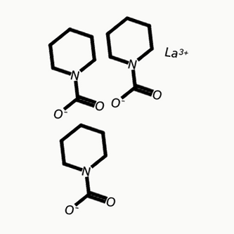 O=C([O-])N1CCCCC1.O=C([O-])N1CCCCC1.O=C([O-])N1CCCCC1.[La+3]